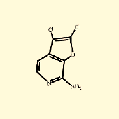 Nc1nccc2c(Cl)c(Cl)oc12